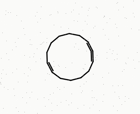 [C]1=C=CCCCCC=CCCCCC1